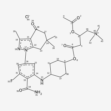 CC(=O)OC(CC(=O)OC1CCC(Nc2cc(-n3nc(C)c4c3CC(C)(C)CC4=O)cc(F)c2C(N)=O)CC1)C[N+](C)(C)C.[Cl-]